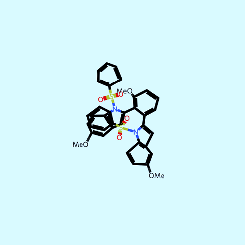 COc1ccc2c(c1)cc(-c1cccc(OC)c1-c1cc3cc(OC)ccc3n1S(=O)(=O)c1ccccc1)n2S(=O)(=O)c1ccccc1